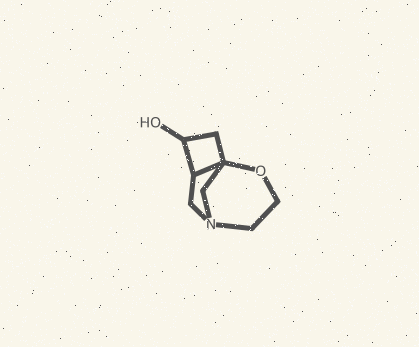 OC1CC23CN(CCO2)CC13